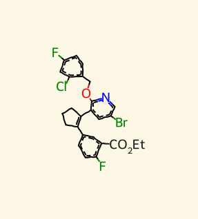 CCOC(=O)c1cc(C2=C(c3cc(Br)cnc3OCc3ccc(F)cc3Cl)CCC2)ccc1F